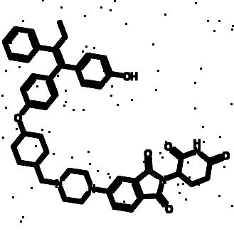 CCC(=C(c1ccc(O)cc1)c1ccc(OC2CCC(CN3CCN(c4ccc5c(c4)C(=O)N(C4CCC(=O)NC4=O)C5=O)CC3)CC2)cc1)c1ccccc1